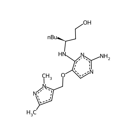 CCCC[C@@H](CCO)Nc1nc(N)ncc1OCc1cc(C)nn1C